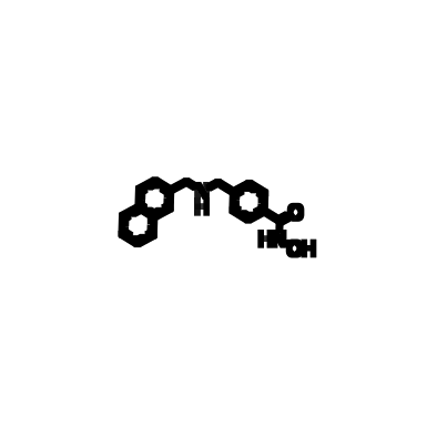 O=C(NO)c1ccc(CNCc2ccc3ccccc3c2)cc1